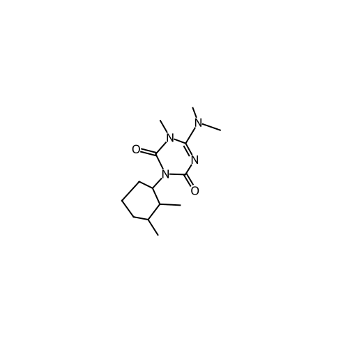 CC1CCCC(n2c(=O)nc(N(C)C)n(C)c2=O)C1C